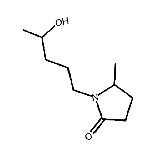 CC(O)CCCN1C(=O)CCC1C